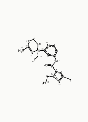 Cc1cc(C(=O)Nc2ccnc([C@]3(CF)CCSC(N)=N3)c2)n(CC(C)C)n1